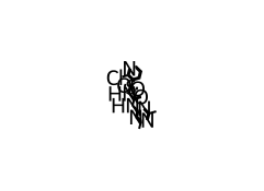 Cc1nc(C)nc(NC(=O)NS(=O)(=O)c2cccnc2Cl)n1